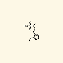 CCn1ccnc1CCC(C)S(=O)(=O)O